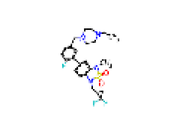 CN1c2cc(-c3cc(CN4CCN(CC(F)(F)F)CC4)ccc3F)ccc2N(CC2CC2(F)F)S1(=O)=O